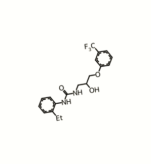 CCc1ccccc1NC(=O)NCC(O)COc1cccc(C(F)(F)F)c1